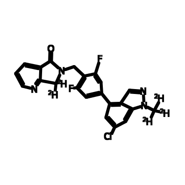 [2H]C1([2H])c2ncccc2C(=O)N1Cc1c(F)cc(-c2cc(Cl)cc3c2cnn3C([2H])([2H])[2H])cc1F